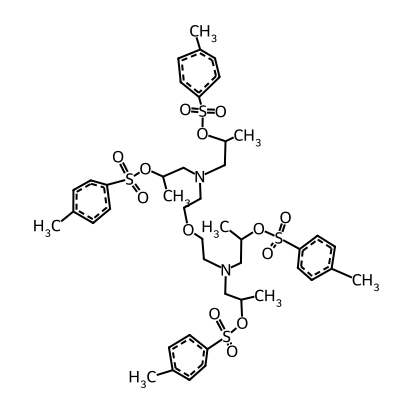 Cc1ccc(S(=O)(=O)OC(C)CN(CCOCCN(CC(C)OS(=O)(=O)c2ccc(C)cc2)CC(C)OS(=O)(=O)c2ccc(C)cc2)CC(C)OS(=O)(=O)c2ccc(C)cc2)cc1